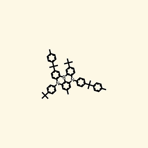 Cc1ccc(C(C)(C)c2ccc(N3c4ccc(C(C)(C)C)cc4B4c5cc(C(C)(C)c6ccc(C)cc6)ccc5N(c5ccc(C(C)(C)C)cc5)c5cc(C)cc3c54)cc2)cc1